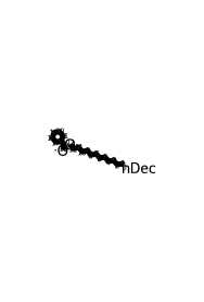 CCCCCCCCCCCCCCCCCCCCCCOC([O])C1CCCCC1